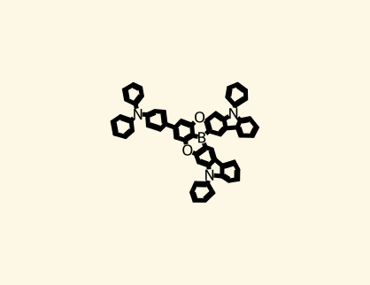 c1ccc(N(c2ccccc2)c2ccc(-c3cc4c5c(c3)Oc3cc6c(cc3B5c3cc5c7ccccc7n(-c7ccccc7)c5cc3O4)c3ccccc3n6-c3ccccc3)cc2)cc1